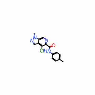 Cc1ccc(NC(=O)c2ncc3c(cnn3C)c2Cl)cc1